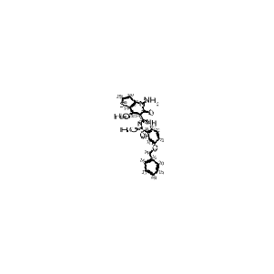 Nn1c(=O)c(C2=NS(O)(O)c3cc(OCc4ccccc4)ccc3N2)c(O)c2sccc21